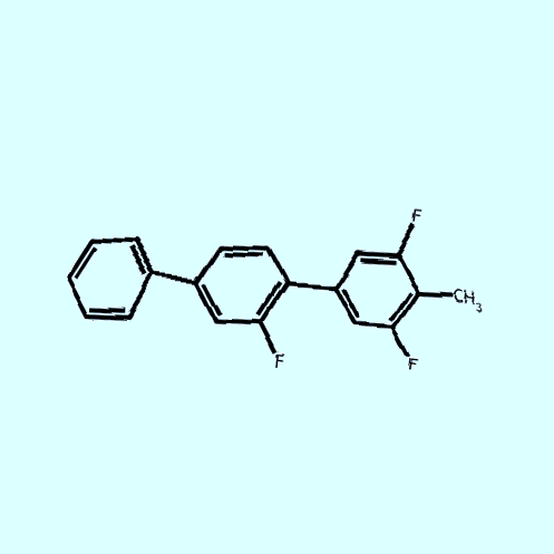 Cc1c(F)cc(-c2ccc(-c3ccccc3)cc2F)cc1F